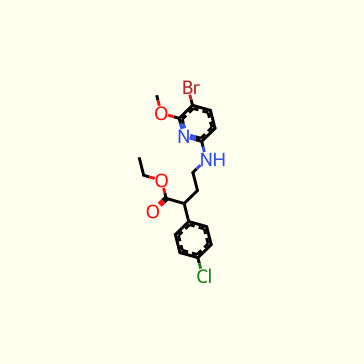 CCOC(=O)C(CCNc1ccc(Br)c(OC)n1)c1ccc(Cl)cc1